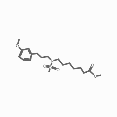 COC(=O)CCCCCCN(CCCc1cccc(OC)c1)S(C)(=O)=O